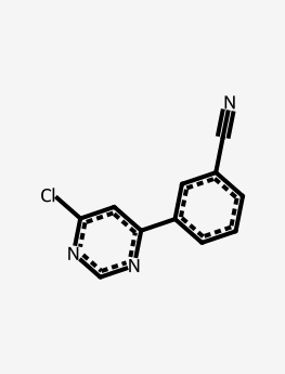 N#Cc1cccc(-c2cc(Cl)ncn2)c1